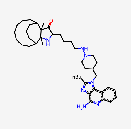 CCCCc1nc2c(N)nc3ccccc3c2n1CC1CCN(NCCCCC2NC3(C)C4CCCCCCCC(CCC4)C3(C)C2=O)CC1